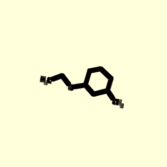 CCOC1CCCC(C)C1